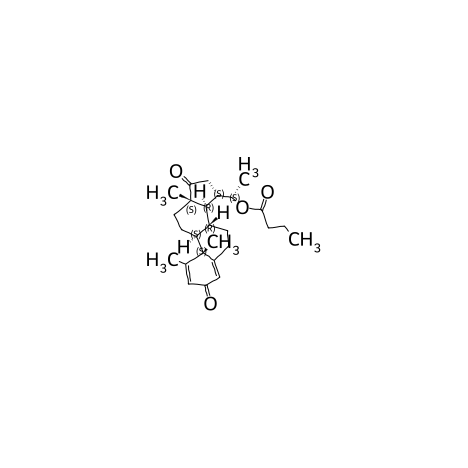 CCCC(=O)O[C@@H](C)[C@H]1CC(=O)[C@@]2(C)CC[C@H]3[C@@H](CCC4=CC(=O)C=C(C)[C@@]43C)[C@H]12